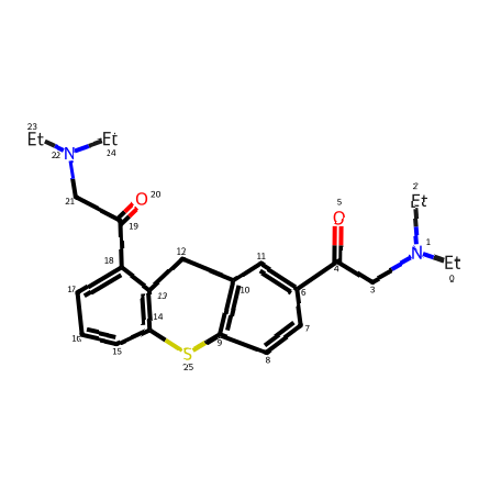 CCN(CC)CC(=O)c1ccc2c(c1)Cc1c(cccc1C(=O)CN(CC)CC)S2